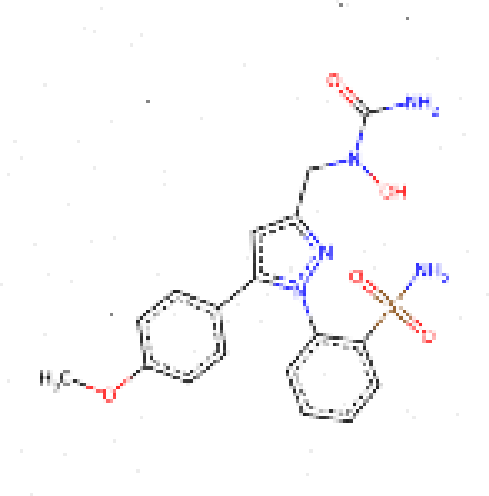 COc1ccc(-c2cc(CN(O)C(N)=O)nn2-c2ccccc2S(N)(=O)=O)cc1